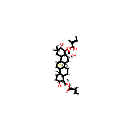 C/C=C(\C)C(=O)OC[C@@]12C(CC(C)(C)[C@@H](O)[C@@H]1O)C1=CCC3[C@@]4(C)CC[C@H](O)[C@](C)(COC(=O)/C(C)=C/C)C4CC[C@@]3(S)[C@]1(C)C[C@H]2O